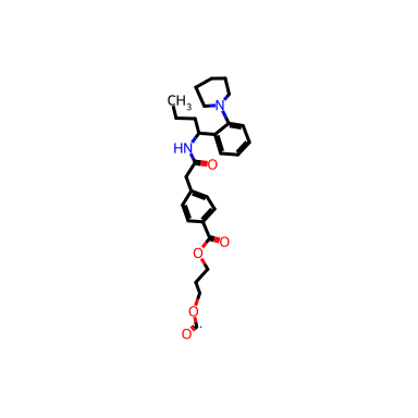 CCCC(NC(=O)Cc1ccc(C(=O)OCCCO[C]=O)cc1)c1ccccc1N1CCCCC1